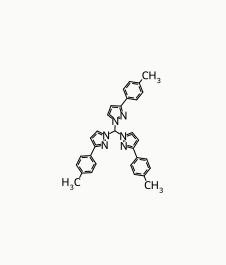 Cc1ccc(-c2ccn(C(n3ccc(-c4ccc(C)cc4)n3)n3ccc(-c4ccc(C)cc4)n3)n2)cc1